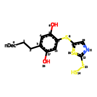 CCCCCCCCCCCCc1cc(O)c(Sc2cnc(SS)s2)cc1O